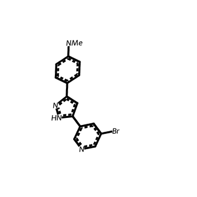 CNc1ccc(-c2cc(-c3cncc(Br)c3)[nH]n2)cc1